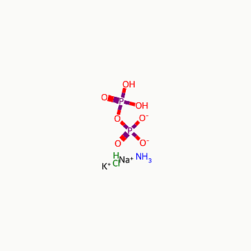 Cl.N.O=P([O-])([O-])OP(=O)(O)O.[K+].[Na+]